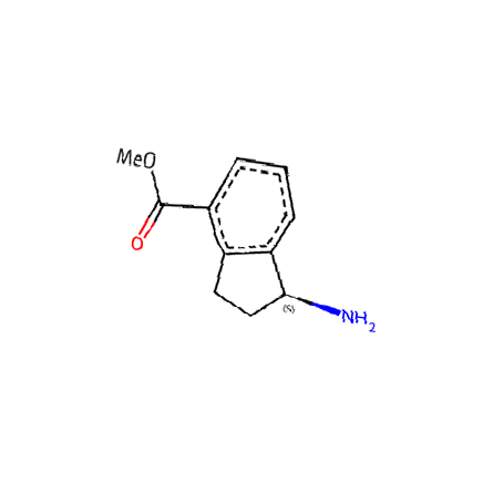 COC(=O)c1cccc2c1CC[C@@H]2N